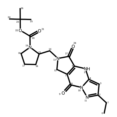 CCc1cc2[nH]c3c(c(=O)n2n1)CN(CC1CCCN1C(=O)OC(C)(C)C)C3=O